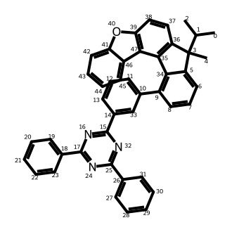 CC(C)C1(C)c2cccc(-c3cccc(-c4nc(-c5ccccc5)nc(-c5ccccc5)n4)c3)c2-c2c1ccc1oc3ccccc3c21